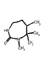 CC1CCNC(=O)N(C)C1(C)C